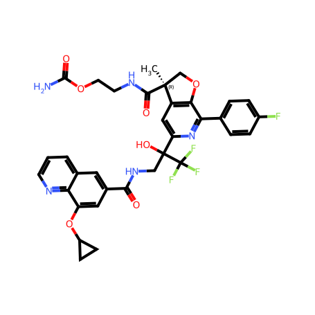 C[C@]1(C(=O)NCCOC(N)=O)COc2c1cc(C(O)(CNC(=O)c1cc(OC3CC3)c3ncccc3c1)C(F)(F)F)nc2-c1ccc(F)cc1